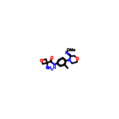 CON=C1COCCN1c1ccc(NC(=O)C2(N)COC2)cc1C